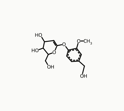 COc1cc(CO)ccc1OC1=CC(O)C(O)C(CO)O1